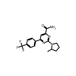 CC1CCCN1c1nc(C(N)=O)cc(-c2ccc(C(F)(F)F)cc2)n1